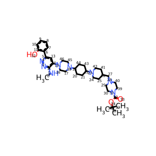 CNc1nnc(-c2ccccc2O)cc1N1CCN(C2CCC(N3CCC(CN4CCN(C(=O)OC(C)(C)C)CC4)CC3)CC2)CC1